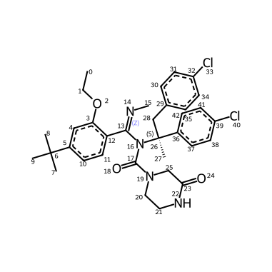 CCOc1cc(C(C)(C)C)ccc1/C(=N/C)N(C(=O)N1CCNC(=O)C1)[C@@](C)(Cc1ccc(Cl)cc1)c1ccc(Cl)cc1